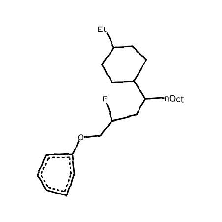 CCCCCCCCC(CC(F)COc1ccccc1)C1CCC(CC)CC1